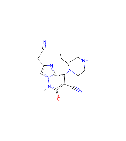 CCC1CNCCN1c1c(C#N)c(=O)n(C)n2cc(CC#N)nc12